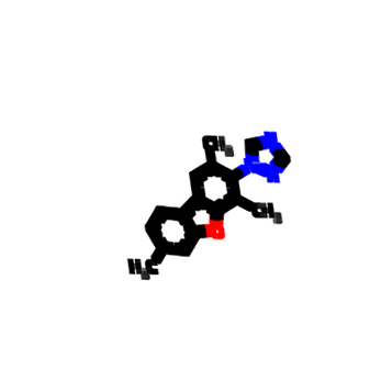 Cc1ccc2c(c1)oc1c(C)c(-n3cncn3)c(C)cc12